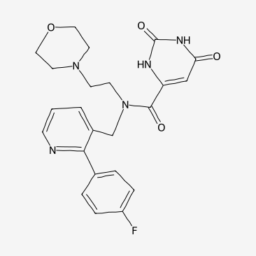 O=C(c1cc(=O)[nH]c(=O)[nH]1)N(CCN1CCOCC1)Cc1cccnc1-c1ccc(F)cc1